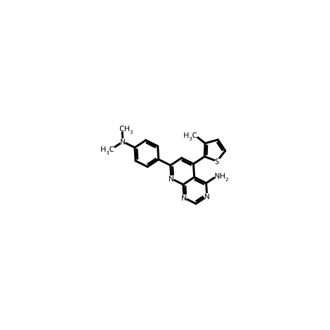 Cc1ccsc1-c1cc(-c2ccc(N(C)C)cc2)nc2ncnc(N)c12